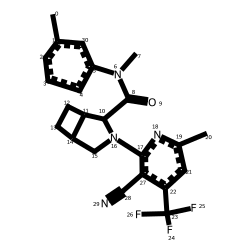 Cc1cccc(N(C)C(=O)C2C3CCC3CN2c2nc(C)cc(C(F)(F)F)c2C#N)c1